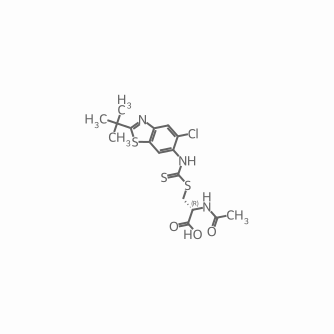 CC(=O)N[C@@H](CSC(=S)Nc1cc2sc(C(C)(C)C)nc2cc1Cl)C(=O)O